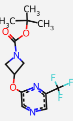 CC(C)(C)OC(=O)N1CC(Oc2cncc(C(F)(F)F)n2)C1